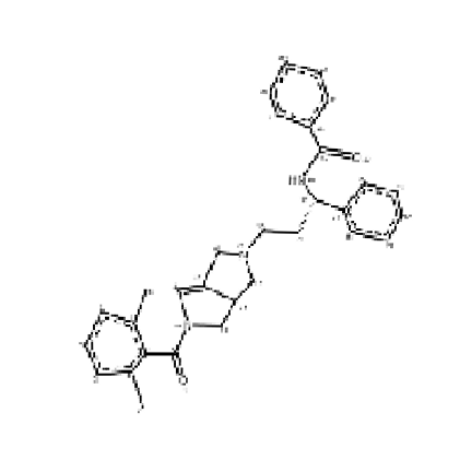 Cc1cccc(C)c1C(=O)N1C=C2CN(CC[C@H](NC(=O)c3ccccc3)c3ccccc3)CC2C1